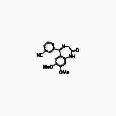 COc1cc2c(cc1OC)C(c1cccc(C#N)c1)=NCC(=O)N2